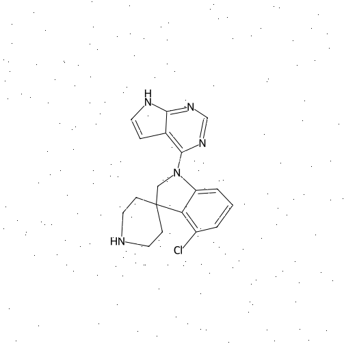 Clc1cccc2c1C1(CCNCC1)CN2c1ncnc2[nH]ccc12